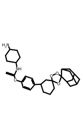 C=C(NC1CCC(N)CC1)Oc1ccc(C2CCCC3(C2)OOC2(O3)C3CC4CC(C3)CC2C4)cc1